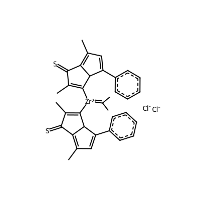 CC1=C2C(=S)C(C)=[C]([Zr+2]([C]3=C(C)C(=S)C4=C(C)C=C(c5ccccc5)C43)=[C](C)C)C2C(c2ccccc2)=C1.[Cl-].[Cl-]